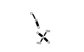 O=S(=O)(O)O.[O]=[Al][Cl]